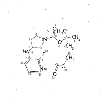 CC(C)(C)OC(=O)N1CCC(Nc2cccnc2F)C1.COC=O